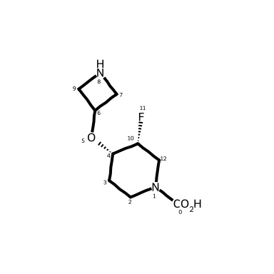 O=C(O)N1CC[C@H](OC2CNC2)[C@H](F)C1